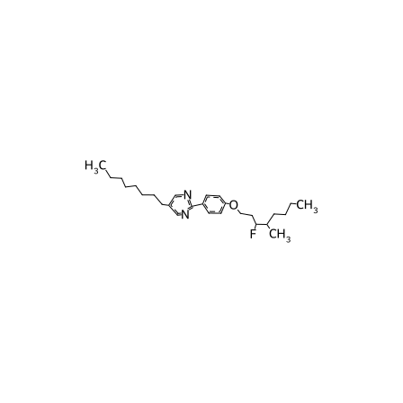 CCCCCCCCc1cnc(-c2ccc(OCCC(F)C(C)CCCC)cc2)nc1